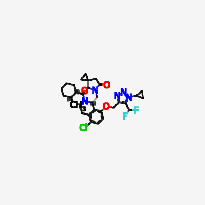 C[C@H]1CCCC[C@H]1C(=O)N1CCc2c(Cl)ccc(OCc3nnn(C4CC4)c3C(F)F)c2[C@H]1CN1CC2(CC2)CC1=O